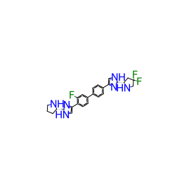 Fc1cc(-c2ccc(-c3c[nH]c([C@@H]4CC(F)(F)CN4)n3)cc2)ccc1-c1c[nH]c([C@@H]2CCCN2)n1